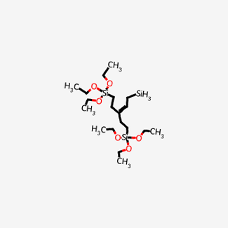 CCO[Si](CCC(=CC[SiH3])CC[Si](OCC)(OCC)OCC)(OCC)OCC